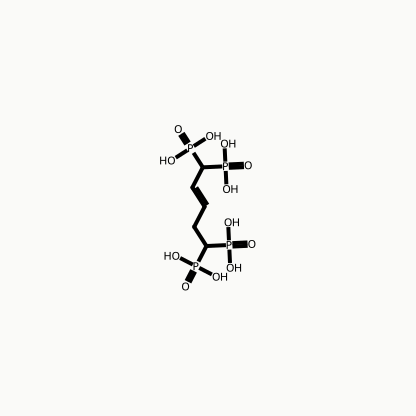 O=P(O)(O)C(C=CCC(P(=O)(O)O)P(=O)(O)O)P(=O)(O)O